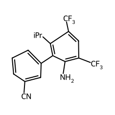 CC(C)c1c(C(F)(F)F)cc(C(F)(F)F)c(N)c1-c1cccc(C#N)c1